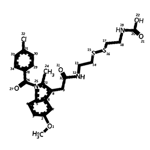 COc1ccc2c(c1)c(CC(=O)NCCSSCCNC(=O)O)c(C)n2C(=O)c1ccc(Cl)cc1